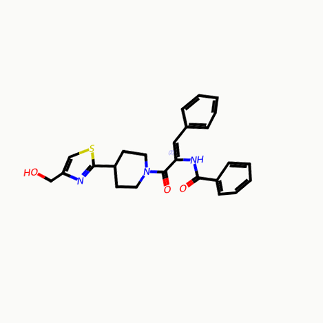 O=C(N/C(=C\c1ccccc1)C(=O)N1CCC(c2nc(CO)cs2)CC1)c1ccccc1